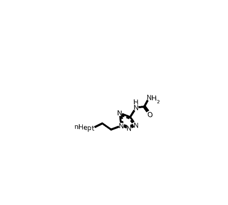 CCCCCCCCCn1nnc(NC(N)=O)n1